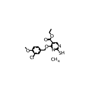 C.CCOC(=O)c1cnc(S)nc1OCc1ccc(OC)c(Cl)c1